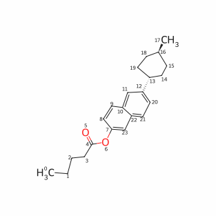 CCCCC(=O)Oc1ccc2cc([C@H]3CC[C@H](C)CC3)ccc2c1